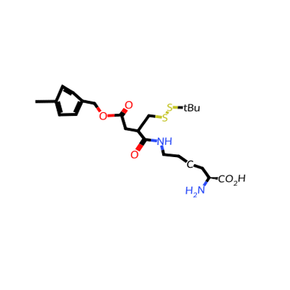 Cc1ccc(COC(=O)CC(CSSC(C)(C)C)C(=O)NCCCC[C@H](N)C(=O)O)cc1